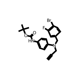 C#CCN(Cc1ccc(Br)c(F)c1)c1ccc(NC(=O)OC(C)(C)C)cc1